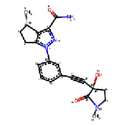 C[C@H]1CCc2c1c(C(N)=O)nn2-c1cccc(C#C[C@]2(O)CCN(C)C2=O)c1